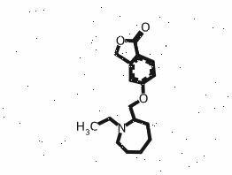 CCN1CCCCCC1COc1ccc2c(c1)COC2=O